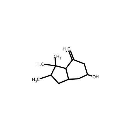 C=C1CC(O)CC2CC(C)C(C)(C)C12